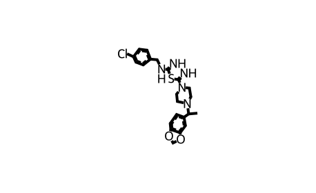 CC(c1ccc2c(c1)OCO2)N1CCN(C(=N)SC(=N)NCc2ccc(Cl)cc2)CC1